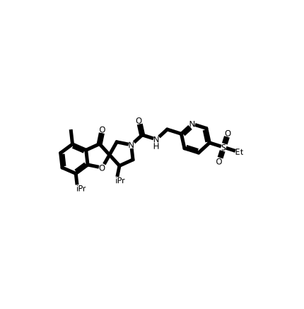 CCS(=O)(=O)c1ccc(CNC(=O)N2CC(C(C)C)C3(C2)Oc2c(C(C)C)ccc(C)c2C3=O)nc1